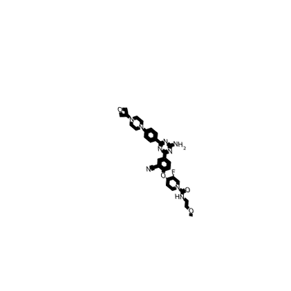 COCCNC(=O)N1CC[C@H](Oc2ccc(-c3nc(N)nc(-c4ccc(N5CCN(C6COC6)CC5)cc4)n3)cc2C#N)[C@H](F)C1